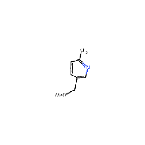 COCc1ccc(C(F)(F)F)nc1